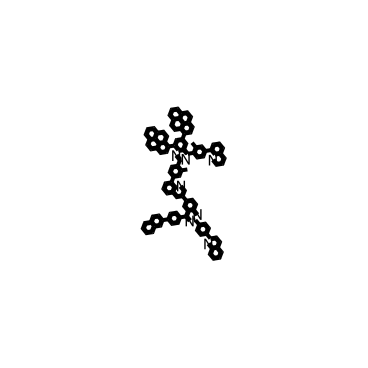 Cc1cc(-c2cccc3cc(-c4ccc5nc(-c6ccc(-c7ccc8ccccc8n7)cc6)nc(-c6ccc(-c7ccc8ccccc8c7)cc6)c5c4)cnc23)ccc1-c1nc(-c2ccc(-c3cccc4cccnc34)cc2C)c2cc(-c3ccc4ccc5cccc6ccc3c4c56)cc(-c3ccc4ccc5cccc6ccc3c4c56)c2n1